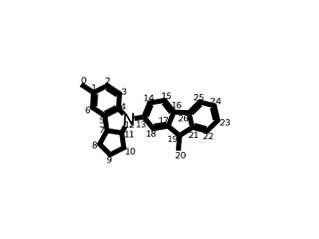 Cc1ccc2c(c1)C1CCCC1N2c1ccc2c(c1)C(C)c1ccccc1-2